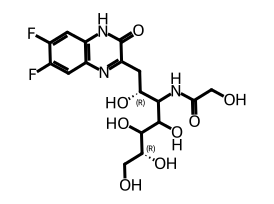 O=C(CO)NC(C(O)C(O)[C@H](O)CO)[C@H](O)Cc1nc2cc(F)c(F)cc2[nH]c1=O